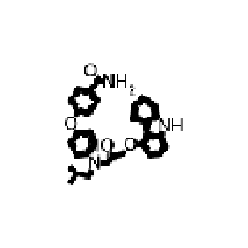 CC(C)CN(C[C@H](O)COc1cccc2[nH]c3ccccc3c12)c1ccc(Oc2ccc(C(N)=O)cc2)cc1